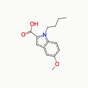 CCCCn1c(C(=O)O)cc2cc(OC)ccc21